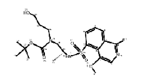 COc1cnc(F)c2cccc(S(=O)(=O)N[C@H](C)CN(CCCO)C(=O)OC(C)(C)C)c12